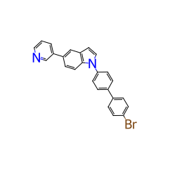 Brc1ccc(-c2ccc(-n3ccc4cc(-c5cccnc5)ccc43)cc2)cc1